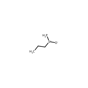 CCC[S+]([O-])P